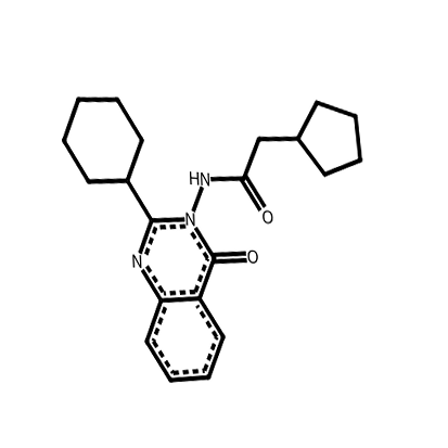 O=C(CC1CCCC1)Nn1c(C2CCCCC2)nc2ccccc2c1=O